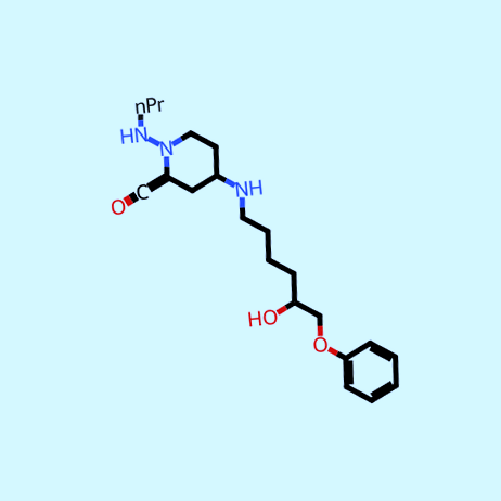 CCCNN1CCC(NCCCCC(O)COc2ccccc2)CC1=C=O